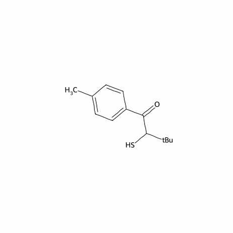 Cc1ccc(C(=O)C(S)C(C)(C)C)cc1